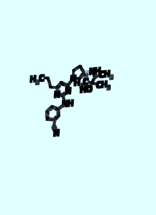 CCCc1cc(N2CC[C@H](NC(C)C(C)(C)O)C2)nc(Nc2cccc(C#N)c2)n1